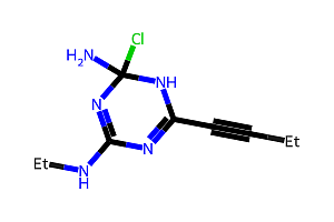 CCC#CC1=NC(NCC)=NC(N)(Cl)N1